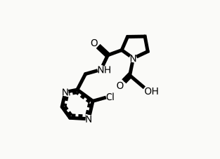 O=C(NCc1nccnc1Cl)C1CCCN1C(=O)O